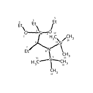 CCO[Si](CC)(OCC)C(CC)N([Si](C)(C)C)[Si](C)(C)C